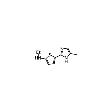 CCNc1ccc(-c2ncc(C)[nH]2)s1